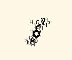 [2H]N(C)C([2H])(C)Cc1ccc2c(c1)OC([2H])([2H])O2